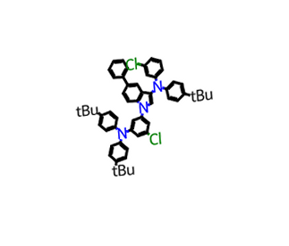 CC(C)(C)c1ccc(N(c2ccc(C(C)(C)C)cc2)c2cc(Cl)cc(-n3cc(N(c4ccc(C(C)(C)C)cc4)c4cccc(Cl)c4)c4cc(-c5ccccc5)ccc43)c2)cc1